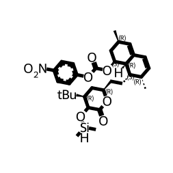 C[C@H]1C=C2C=C[C@H](C)[C@H](CC[C@@H]3C[C@H](C(C)(C)C)C(O[SiH](C)C)C(=O)O3)[C@H]2[C@@H](OC(=O)Oc2ccc([N+](=O)[O-])cc2)C1